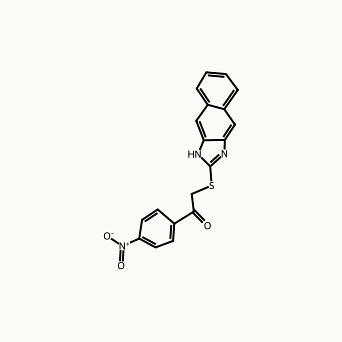 O=C(CSc1nc2cc3ccccc3cc2[nH]1)c1ccc([N+](=O)[O-])cc1